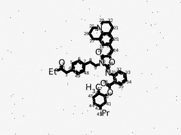 CCC(=O)Cc1ccc(CCN2C(=O)/C(=C\c3cc4c5c(c3)CCCN5CCC4)O/C2=N\c2ccccc2C(=O)OC2CC(C(C)C)CCC2C)cc1